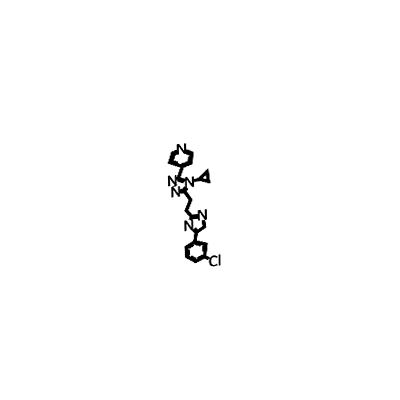 Clc1cccc(C2=NC(CCc3nnc(-c4ccncc4)n3C3CC3)=NC2)c1